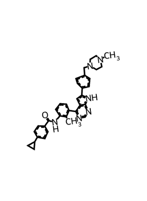 Cc1c(NC(=O)c2ccc(C3CC3)cc2)cccc1-c1ncnc2[nH]c(-c3ccc(CN4CCN(C)CC4)cc3)cc12